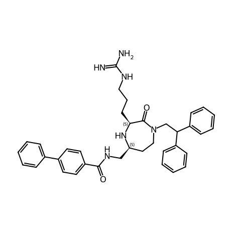 N=C(N)NCCC[C@@H]1N[C@H](CNC(=O)c2ccc(-c3ccccc3)cc2)CCN(CC(c2ccccc2)c2ccccc2)C1=O